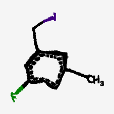 Cc1cc(F)cc(CI)c1